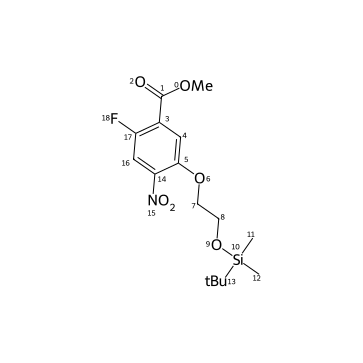 COC(=O)c1cc(OCCO[Si](C)(C)C(C)(C)C)c([N+](=O)[O-])cc1F